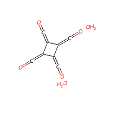 O.O.O=C=C1C(=C=O)C(=C=O)C1=C=O